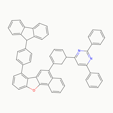 C1=CC(c2cc(-c3ccccc3)nc(-c3ccccc3)n2)CC(c2cc3c(oc4cccc(-c5ccc(C6c7ccccc7-c7ccccc76)cc5)c43)c3ccccc23)=C1